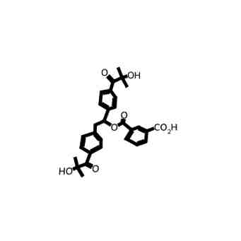 CC(C)(O)C(=O)c1ccc(CC(OC(=O)c2cccc(C(=O)O)c2)c2ccc(C(=O)C(C)(C)O)cc2)cc1